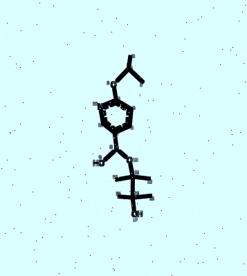 CC(C)Oc1ccc(B(O)OC(C)(C)C(C)(C)O)cn1